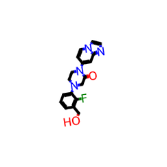 O=C1CN(c2cccc(CO)c2F)CCN1c1ccn2ccnc2c1